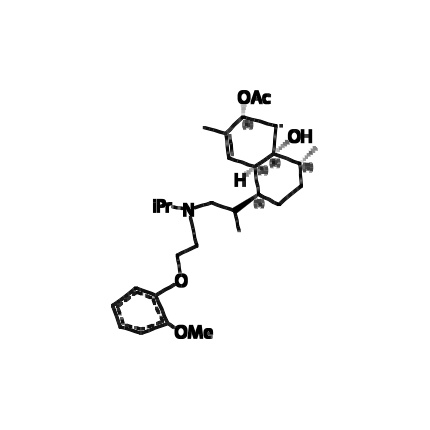 COc1ccccc1OCCN(CC(C)[C@@H]1CC[C@@H](C)[C@]2(O)[CH][C@@H](OC(C)=O)C(C)=C[C@H]12)C(C)C